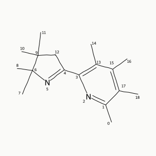 Cc1nc(C2=NC(C)(C)C(C)(C)C2)c(C)c(C)c1C